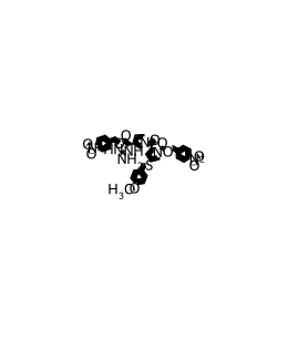 COc1ccc(CS[C@H]2C[C@@H](C(=O)N3CC[C@@H](C(NC(=N)N)C(=O)OCc4ccc([N+](=O)[O-])cc4)C3)N(C(=O)OCc3ccc([N+](=O)[O-])cc3)C2)cc1